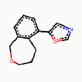 c1cc2c(c(-c3cnco3)c1)CCCOC2